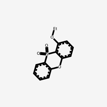 CCOc1cccc2c1S(=O)(=O)c1ccccc1O2